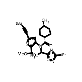 COC(=O)c1sc(C#CC(C)(C)C)cc1N(C(=O)[C@H]1CC[C@H](C)CC1)C(C)c1nc(C(C)C)no1